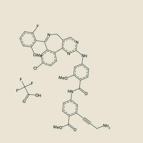 COC(=O)c1ccc(NC(=O)c2ccc(Nc3ncc4c(n3)-c3ccc(Cl)cc3C(c3c(F)cccc3OC)=NC4)cc2OC)cc1C#CCN.O=C(O)C(F)(F)F